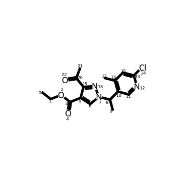 CCOC(=O)c1cn(C(C)c2cnc(Cl)cc2C)nc1C(C)=O